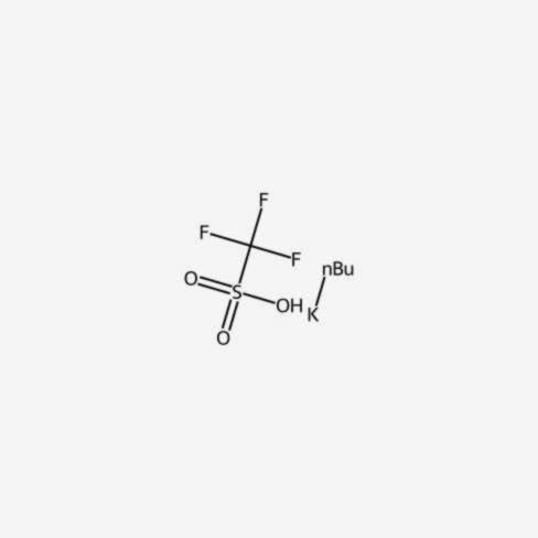 CCC[CH2][K].O=S(=O)(O)C(F)(F)F